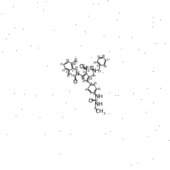 CCNC(=O)Nc1ccc(-c2sc(N(C=O)Cc3c(F)cccc3F)c(C=O)c2CN(C)Cc2ccccc2)cc1